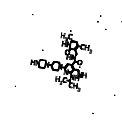 Cc1cc(C)c(CNC(=O)c2cc(N3CCC(N4CCNCC4)CC3)nc(NC(C)C)c2C=N)c(=O)[nH]1